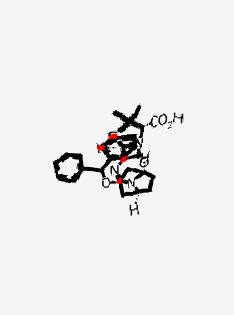 CC1(C)S[C@@H]2[C@H](/N=C\N3[C@@H]4CC[C@H]3C[C@@H](OC(c3ccccc3)c3ccccc3)C4)C(=O)N2[C@H]1C(=O)O